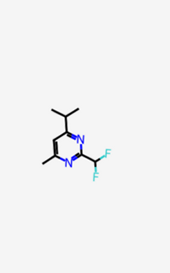 Cc1cc(C(C)C)nc(C(F)F)n1